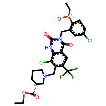 CCOC(=O)[C@@H]1CCCN(Cc2c(C(F)(F)F)cc3c(=O)n(Cc4cc(Cl)ccc4[S+]([O-])CC)c(=O)[nH]c3c2Cl)C1